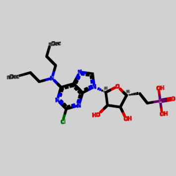 CCCCCCCCCCCCN(CCCCCCCCCCCC)c1nc(Cl)nc2c1ncn2[C@@H]1O[C@H](CCP(=O)(O)O)C(O)C1O